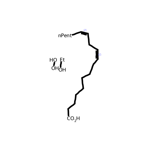 CCCCC/C=C\C/C=C\CCCCCCCC(=O)O.CCO.OO